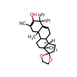 CCCC1(CCC)C2=CCC3C(CCC4(C)[C@H]3CCC43OCCO3)C2(C)CC(C#N)=C1O